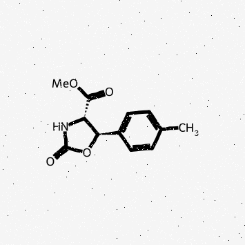 COC(=O)[C@H]1NC(=O)O[C@@H]1c1ccc(C)cc1